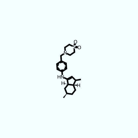 CC1C=C(Nc2ccc(CN3CCS(=O)(=O)CC3)cc2)[C@@H]2C[C@H](C)CC[C@@H]12